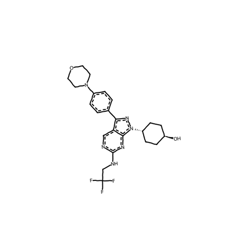 O[C@H]1CC[C@H](n2nc(-c3ccc(N4CCOCC4)cc3)c3cnc(NCC(F)(F)F)nc32)CC1